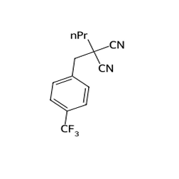 CCCC(C#N)(C#N)Cc1ccc(C(F)(F)F)cc1